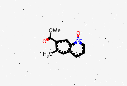 COC(=O)c1cc2c(ccc[n+]2[O-])cc1C